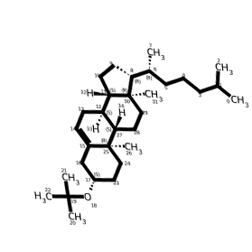 CC(C)CCC[C@@H](C)[C@H]1CC[C@H]2[C@@H]3CC=C4C[C@@H](OC(C)(C)C)CC[C@]4(C)[C@H]3CC[C@]12C